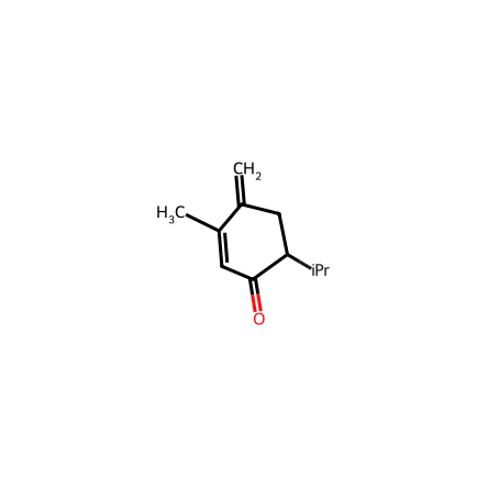 C=C1CC(C(C)C)C(=O)C=C1C